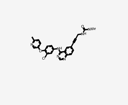 CNC(=O)NCC#Cc1ccc2ncnc(Nc3ccc(Oc4ccc(C)nc4)c(Cl)c3)c2c1